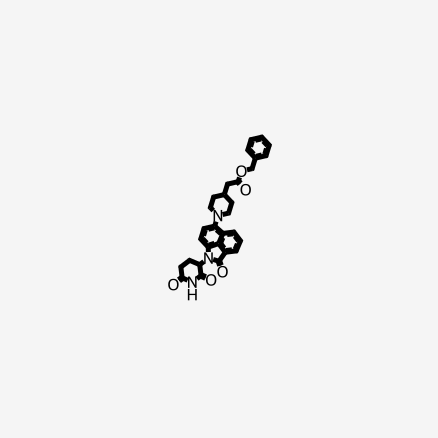 O=C1CCC(N2C(=O)c3cccc4c(N5CCC(CC(=O)OCc6ccccc6)CC5)ccc2c34)C(=O)N1